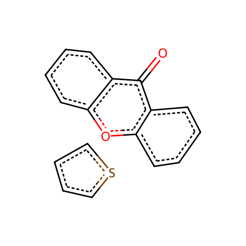 O=c1c2ccccc2oc2ccccc12.c1ccsc1